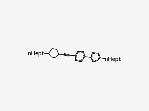 CCCCCCCc1ccc(-c2ccc(C#CC3CCC(CCCCCCC)CC3)cc2)cc1